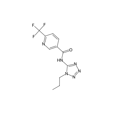 CCCn1nnnc1NC(=O)c1ccc(C(F)(F)F)nc1